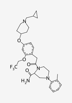 Cc1ccccc1N1CCN(C(=O)Cc2ccc(OC3CCN(CC4CC4)CC3)cc2OCC(F)(F)F)C(C(N)=O)C1